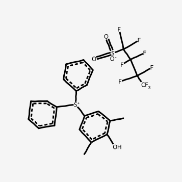 Cc1cc([S+](c2ccccc2)c2ccccc2)cc(C)c1O.O=S(=O)([O-])C(F)(F)C(F)(F)C(F)(F)C(F)(F)F